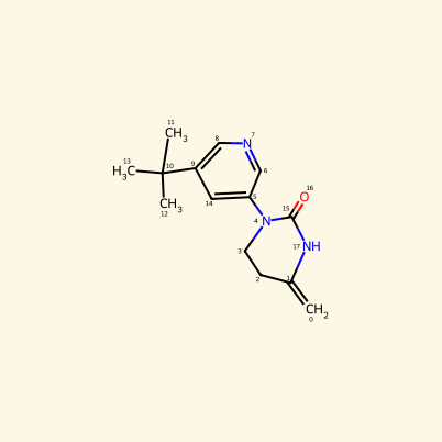 C=C1CCN(c2cncc(C(C)(C)C)c2)C(=O)N1